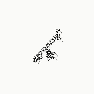 CCOC(=O)OC(C)OC(=O)C1CCN(C2CCN(C(=O)[C@@H](Cc3cc(C)c4c(c3)oc(=O)n4C)OC(=O)N3CCC(N4CCc5ccccc5NC4=O)CC3)CC2)CC1